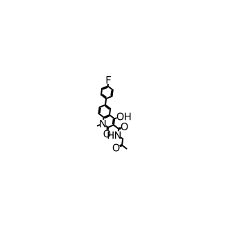 CC(=O)CNC(=O)c1c(O)c2cc(-c3ccc(F)cc3)ccc2n(C)c1=O